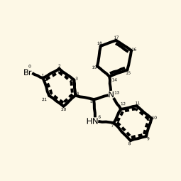 Brc1ccc(C2Nc3ccccc3N2C2=CC=CCC2)cc1